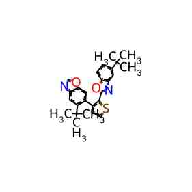 CC(C)(C)c1ccc2oc(-c3sccc3-c3cc4ocnc4cc3C(C)(C)C)nc2c1